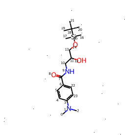 CN(C)c1ccc(C(=O)NCC(O)CO[Si](C)(C)C(C)(C)C)cc1